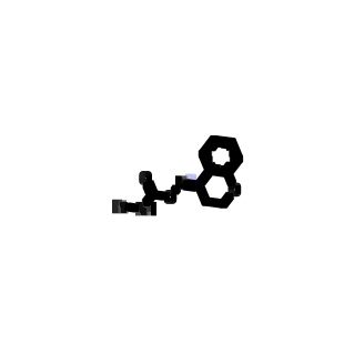 CCNC(=O)O/N=C1\CCOc2ccccc21